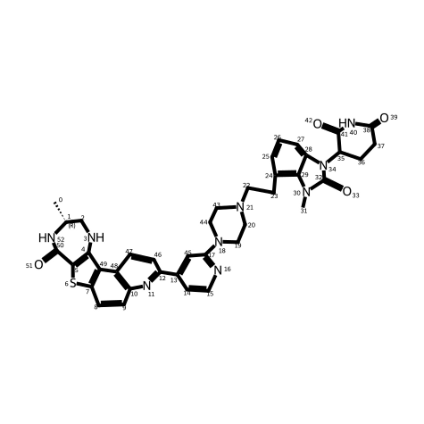 C[C@@H]1CNc2c(sc3ccc4nc(-c5ccnc(N6CCN(CCc7cccc8c7n(C)c(=O)n8C7CCC(=O)NC7=O)CC6)c5)ccc4c23)C(=O)N1